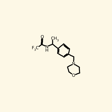 CC(NC(=O)C(F)(F)F)c1ccc(CN2CCOCC2)cc1